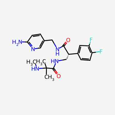 CNC(C)(C)C(=O)NC[C@H](C(=O)NCc1ccc(N)nc1)c1ccc(F)c(F)c1